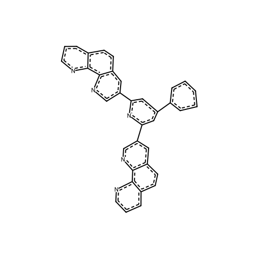 c1ccc(-c2cc(-c3cnc4c(ccc5cccnc54)c3)nc(-c3cnc4c(ccc5cccnc54)c3)c2)cc1